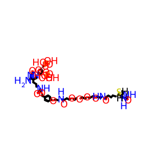 Nc1nc(=O)n([C@@H]2O[C@H](COP(=O)(O)O)C(OP(=O)(O)O)[C@@H]2O)cc1CCCNC(=O)OCc1ccc(OCCNC(=O)CCOCCOCCOCCOCCNC(=O)CCCC[C@@H]2SC[C@@H]3NC(=O)N[C@@H]32)cc1